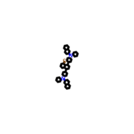 c1ccc(N(c2ccc(-c3ccc4c5c(cccc35)Sc3cc(N(c5ccccc5)c5ccc6ccccc6c5)ccc3-4)cc2)c2ccc3ccccc3c2)cc1